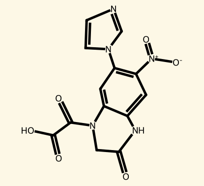 O=C1CN(C(=O)C(=O)O)c2cc(-n3ccnc3)c([N+](=O)[O-])cc2N1